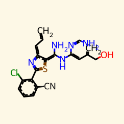 C=C/C=c1/nc(-c2c(Cl)cccc2C#N)s/c1=C(/N)NC(=C/C(=C)CO)/N=C\N